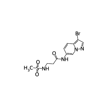 CS(=O)(=O)NCCC(=O)Nc1ccc2c(Br)cnn2c1